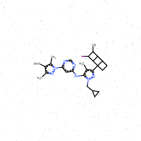 COc1c(C)nn(-c2cc(Nc3c(C)c(C45CC6C4C4C5C(I)C64C#N)nn3CC3CC3)ncn2)c1C